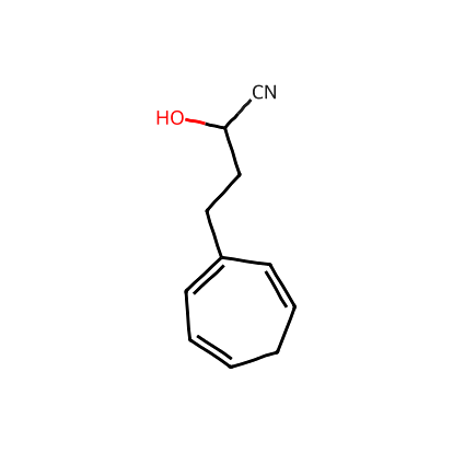 N#CC(O)CCC1=CC=CCC=C1